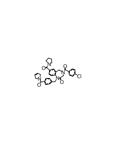 O=C(c1ccc(CN2C(=O)CN(C(=O)c3ccc(Cl)cc3)Cc3cc(C(=O)N4CCCC4)ccc32)cc1)N1CC=CC1